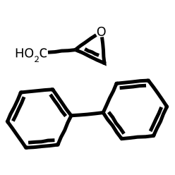 O=C(O)C1=CO1.c1ccc(-c2ccccc2)cc1